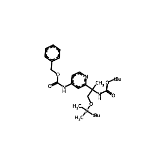 CC(C)(C)OC(=O)NC(C)(CO[Si](C)(C)C(C)(C)C)c1cc(NC(=O)OCc2ccccc2)ccn1